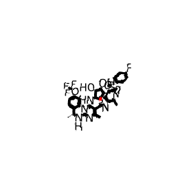 Cc1nc(N[C@H](C)c2ccc(OC(F)(F)F)cc2)nc(NC2C[C@H](CS(=O)(=O)c3ccc(F)cc3)[C@@H](O)[C@H]2O)c1-c1nc2c(C)nccc2s1